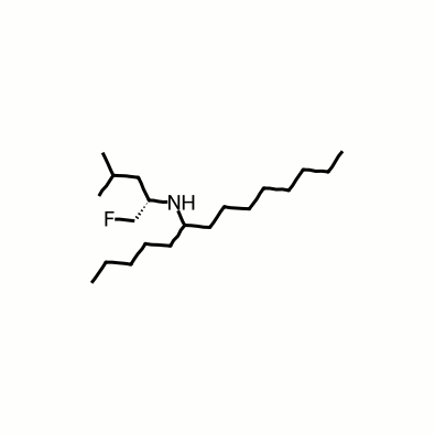 CCCCCCCCC(CCCCC)N[C@H](CF)CC(C)C